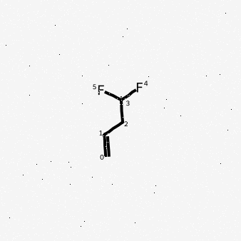 C=CC[C](F)F